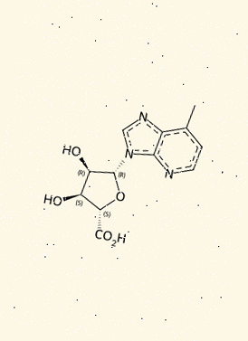 Cc1ccnc2c1ncn2[C@@H]1O[C@H](C(=O)O)[C@@H](O)[C@H]1O